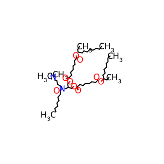 CCCCCCCCC(=O)N(CCCCN(C)C)CC(COC(=O)CCCCCCC(=O)OC(CC)CCCCCCCC)COC(=O)CCCCCCC(=O)OC(CC)CCCCCCCC